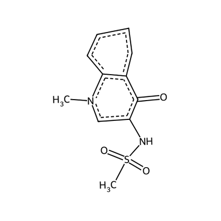 Cn1cc(NS(C)(=O)=O)c(=O)c2ccccc21